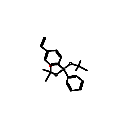 C=Cc1ccc([Si](OC(C)(C)C)(OC(C)(C)C)c2ccccc2)cc1